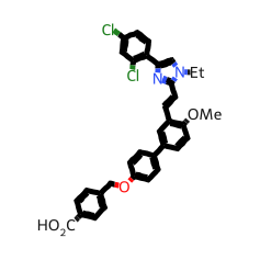 CCn1cc(-c2ccc(Cl)cc2Cl)nc1C=Cc1cc(-c2ccc(OCc3ccc(C(=O)O)cc3)cc2)ccc1OC